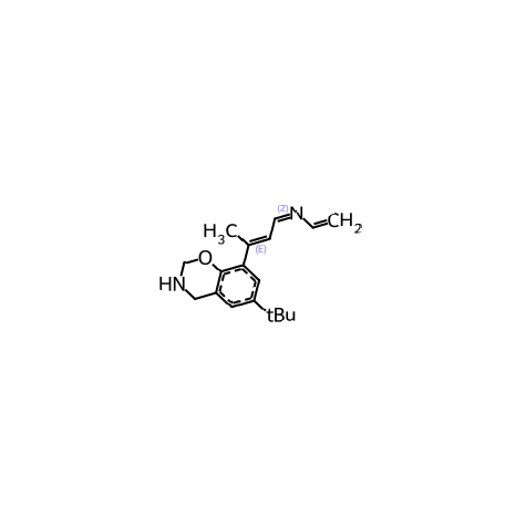 C=C/N=C\C=C(/C)c1cc(C(C)(C)C)cc2c1OCNC2